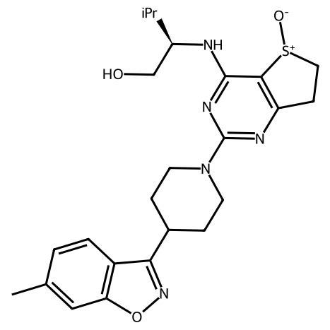 Cc1ccc2c(C3CCN(c4nc5c(c(N[C@@H](CO)C(C)C)n4)[S+]([O-])CC5)CC3)noc2c1